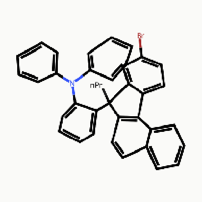 CCCC1(c2ccccc2N(c2ccccc2)c2ccccc2)c2cc(Br)ccc2-c2c1ccc1ccccc21